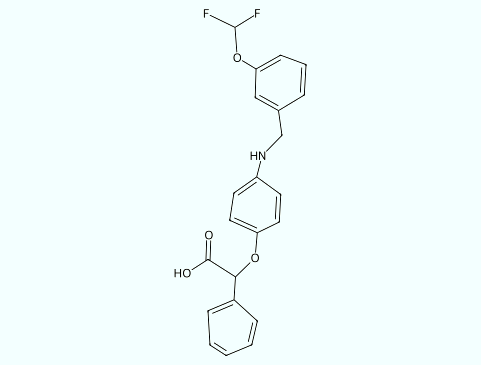 O=C(O)C(Oc1ccc(NCc2cccc(OC(F)F)c2)cc1)c1ccccc1